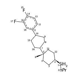 CCC[SiH2][C@H]1CC[C@](C)(C2CCC(c3ccc(F)c(F)c3)CC2)CC1